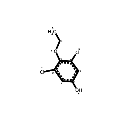 CCOc1c(Cl)cc(O)cc1Cl